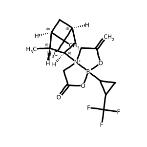 C=C1C[N+]2([C@@H]3C[C@@H]4C[C@H]([C@H]3C)C4(C)C)CC(=O)O[B-]2(C2CC2C(F)(F)F)O1